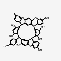 Cc1ccc(C2c3cc(c(O)cc3O)C(c3ccc(O)cc3)c3cc(c(O)cc3O)C(c3ccc(O)cc3)c3cc(c(O)cc3O)C(c3ccc(O)cc3)c3cc2c(O)cc3O)cc1